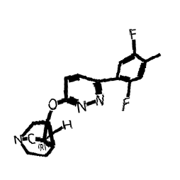 Cc1cc(F)c(-c2ccc(O[C@H]3CN4CCC3CC4)nn2)cc1F